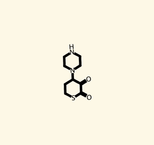 O=C1SCCC(N2CCNCC2)C1=O